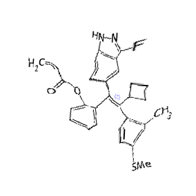 C=CC(=O)Oc1ccccc1/C(=C(\c1ccc(SC)cc1C)C1CCC1)c1ccc2[nH]nc(F)c2c1